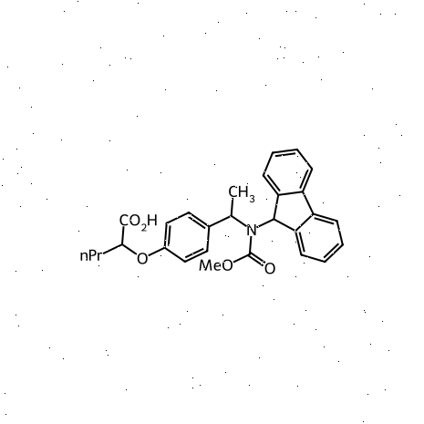 CCCC(Oc1ccc(C(C)N(C(=O)OC)C2c3ccccc3-c3ccccc32)cc1)C(=O)O